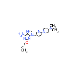 CCCCOc1nc(N)c2c(n1)N(Cc1ccc(N3CCC(N(C)C)CC3)nc1)CC=N2